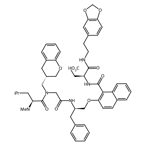 CN[C@@H](CC(C)C)C(=O)N(CC(=O)N[C@@H](COc1ccc2ccccc2c1C(=O)N[C@@H](CC(=O)O)C(=O)NCCc1ccc2c(c1)OCO2)Cc1ccccc1)C[C@H]1COc2ccccc2C1